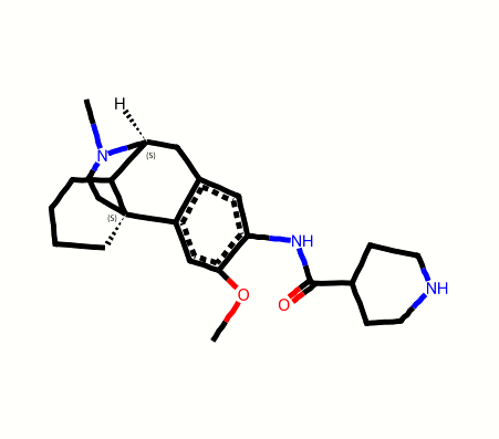 COc1cc2c(cc1NC(=O)C1CCNCC1)C[C@H]1C3CCCC[C@@]23CCN1C